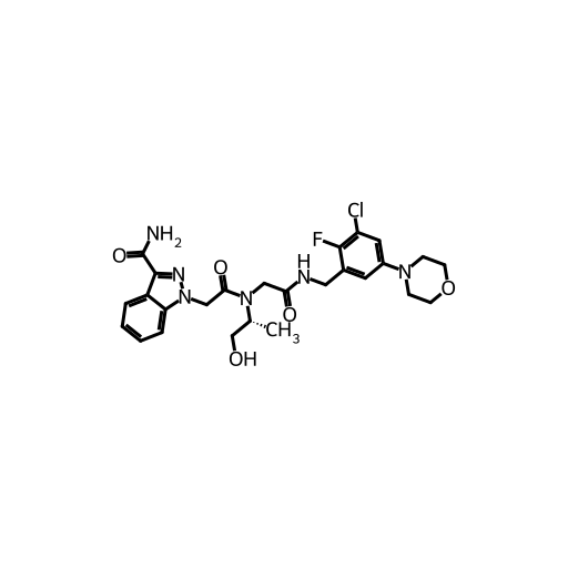 C[C@H](CO)N(CC(=O)NCc1cc(N2CCOCC2)cc(Cl)c1F)C(=O)Cn1nc(C(N)=O)c2ccccc21